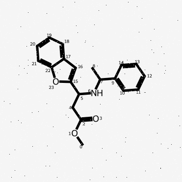 COC(=O)CC(NC(C)c1ccccc1)c1cc2ccccc2o1